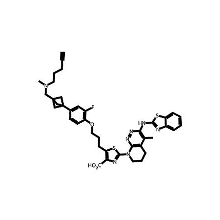 C#CCCCN(C)CC12CC(c3ccc(OCCCc4sc(N5CCCc6c5nnc(Nc5nc7ccccc7s5)c6C)nc4C(=O)O)c(F)c3)(C1)C2